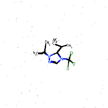 CC(C)C1N(C(C)C)N=CN1C(Cl)(Cl)Cl